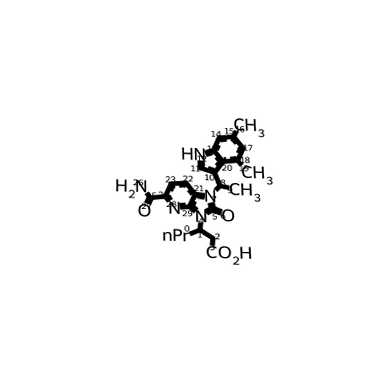 CCCC(CC(=O)O)n1c(=O)n(C(C)c2c[nH]c3cc(C)cc(C)c23)c2ccc(C(N)=O)nc21